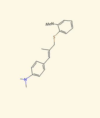 CNc1ccccc1SC/C(C)=C/c1ccc(N(C)C)cc1